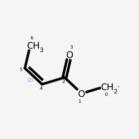 [CH2]OC(=O)/C=C\C